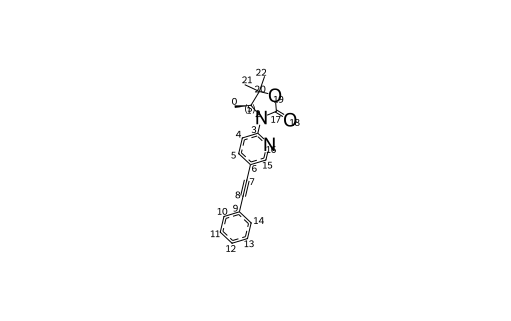 C[C@@H]1N(c2ccc(C#Cc3ccccc3)cn2)C(=O)OC1(C)C